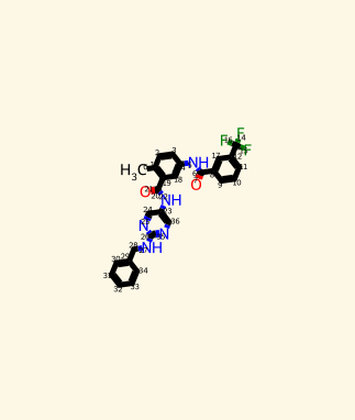 Cc1ccc(NC(=O)c2cccc(C(F)(F)F)c2)cc1C(=O)Nc1cnc(NCc2ccccc2)nc1